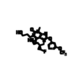 Cn1c(=O)n(CCCO)c(=O)c2c1nc(Oc1cccc(OC(F)(F)F)c1)n2CC1(CC=N)C=C1F